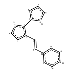 C(=Cc1ccsc1-c1cccs1)c1ccncc1